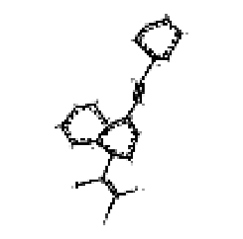 F/C(I)=C(/F)c1ccc(C#Cc2ccccc2)c2ccccc12